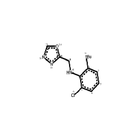 CC(C)(C)c1cccc(Cl)c1NCc1nnco1